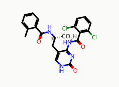 Cc1ccccc1C(=O)N[C@@H](Cc1c[nH]c(=O)nc1NC(=O)c1c(Cl)cccc1Cl)C(=O)O